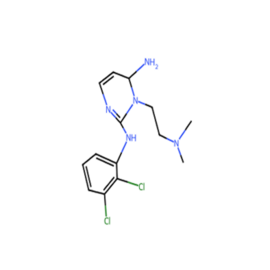 CN(C)CCN1C(Nc2cccc(Cl)c2Cl)=NC=CC1N